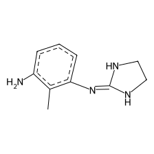 Cc1c(N)cccc1N=C1NCCN1